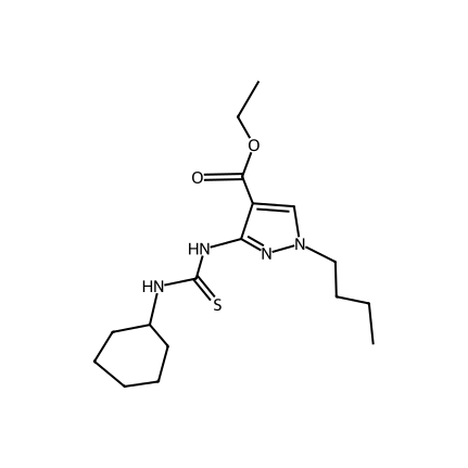 CCCCn1cc(C(=O)OCC)c(NC(=S)NC2CCCCC2)n1